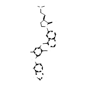 CN(C)C/C=C1\CCN(c2cc3c(Nc4cc(F)c(Oc5ccn6ncnc6c5)cc4F)ncnc3cn2)C1=O